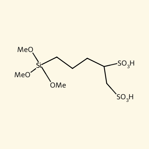 CO[Si](CCCC(CS(=O)(=O)O)S(=O)(=O)O)(OC)OC